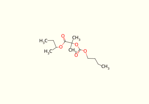 CCCCOC(=O)OC(C)(C)C(=O)OC(C)CC